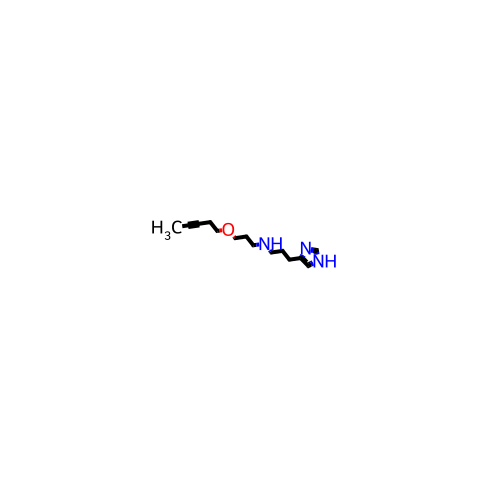 CC#CCCOCCCNCCCc1c[nH]cn1